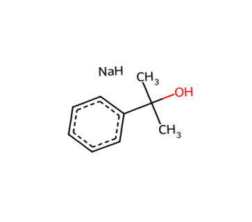 CC(C)(O)c1ccccc1.[NaH]